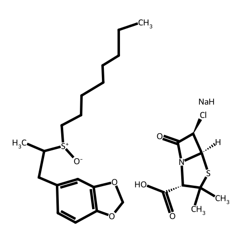 CC1(C)S[C@@H]2[C@H](Cl)C(=O)N2[C@H]1C(=O)O.CCCCCCCC[S+]([O-])C(C)Cc1ccc2c(c1)OCO2.[NaH]